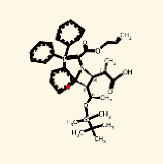 C=CCOC(=O)C(N1C(=O)[C@H]([C@@H](C)O[Si](C)(C)C(C)(C)C)[C@@H]1[C@@H](C)C(=O)O)=P(c1ccccc1)(c1ccccc1)c1ccccc1